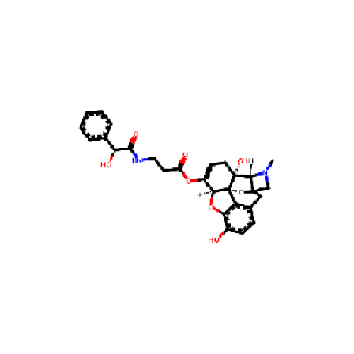 CN1CC23Cc4ccc(O)c5c4[C@@]4(C2)[C@@H](O5)C(OC(=O)CCNC(=O)[C@@H](O)c2ccccc2)=CC[C@@]4(O)[C@H]13